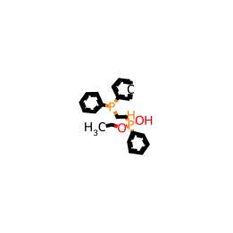 CCO[PH](O)(CCP(c1ccccc1)c1ccccc1)c1ccccc1